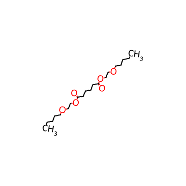 CCCCCOCCOC(=O)CCCCC(=O)OCCOCCCCC